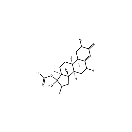 CCC(=O)OC1(O)C(C)C[C@H]2[C@@H]3CC(F)C4=CC(=O)C(C(C)=O)C[C@]4(C)[C@@H]3CC[C@@]21C